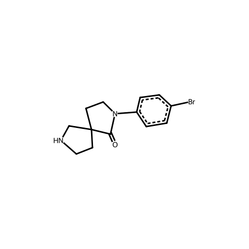 O=C1N(c2ccc(Br)cc2)CCC12CCNC2